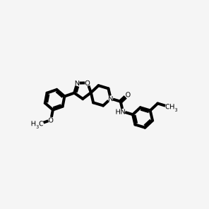 CCc1cccc(NC(=O)N2CCC3(CC2)CC(c2cccc(OC)c2)=NO3)c1